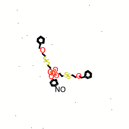 O=Nc1ccc(OP(=O)(OCCSSCCOCc2ccccc2)OCCSSCCOCc2ccccc2)cc1